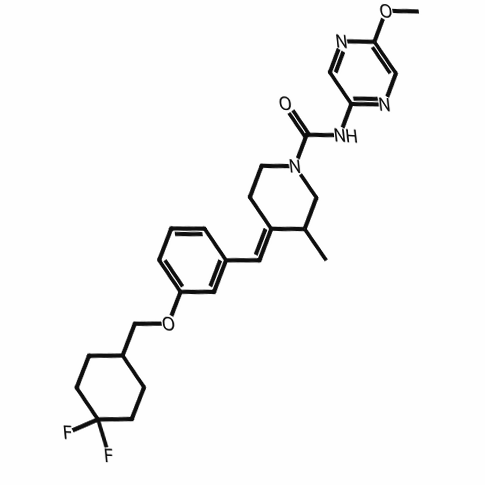 COc1cnc(NC(=O)N2CC/C(=C\c3cccc(OCC4CCC(F)(F)CC4)c3)C(C)C2)cn1